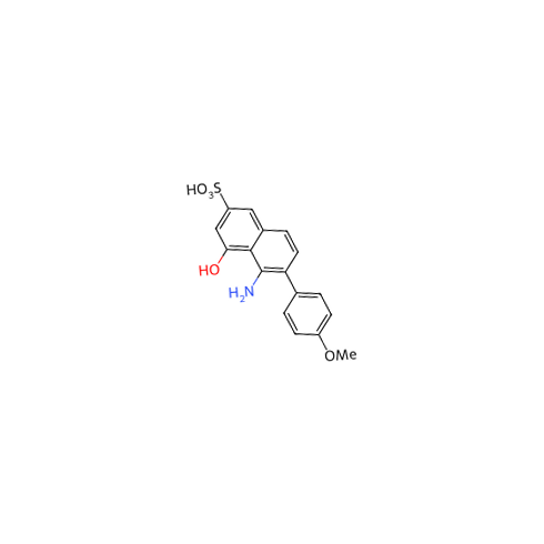 COc1ccc(-c2ccc3cc(S(=O)(=O)O)cc(O)c3c2N)cc1